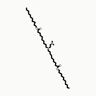 CCCCCCCCCCCOC(=O)CCCCCCCCCN(CCCCCCCCCC(=O)OCCCCCCCCCCC)CCN(C)C